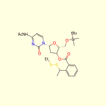 CCSSC(C)c1ccccc1C(=O)OC1C[C@H](n2ccc(NC(C)=O)nc2=O)O[C@@H]1CO[Si](C)(C)C(C)(C)C